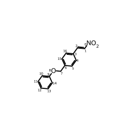 O=[N+]([O-])C=Cc1ccc(COc2ccccc2)cc1